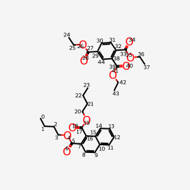 CCCCOC(=O)c1ccc2ccccc2c1C(=O)OCCCC.CCOC(=O)c1ccc(C(=O)OCC)c(C(=O)OCC)c1